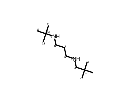 CC(C)(C)CNCCCNC(C)(C)C